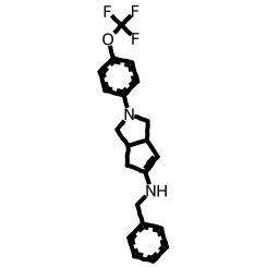 FC(F)(F)Oc1ccc(N2CC3C=C(NCc4ccccc4)CC3C2)cc1